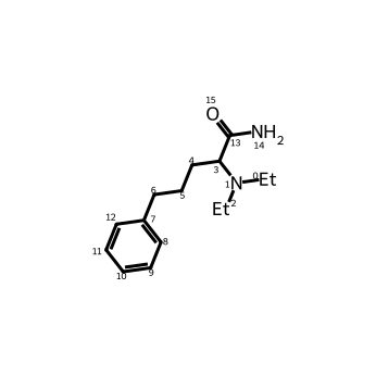 CCN(CC)C(CCCc1ccccc1)C(N)=O